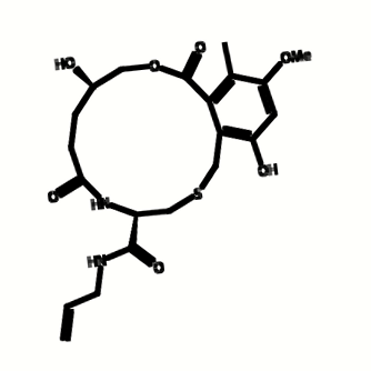 C=CCNC(=O)[C@@H]1CSCc2c(O)cc(OC)c(C)c2C(=O)OC[C@H](O)CCC(=O)N1